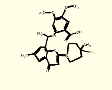 COc1cc(NC(C)c2cc(C)cc3c(=O)cc(N4CCC(C)(C)CC4)oc23)c(C(=O)O)cc1OC